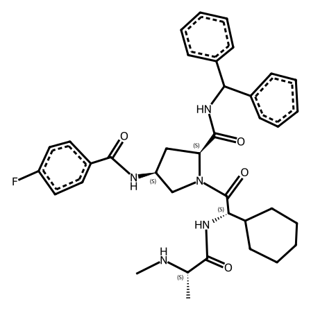 CN[C@@H](C)C(=O)N[C@H](C(=O)N1C[C@@H](NC(=O)c2ccc(F)cc2)C[C@H]1C(=O)NC(c1ccccc1)c1ccccc1)C1CCCCC1